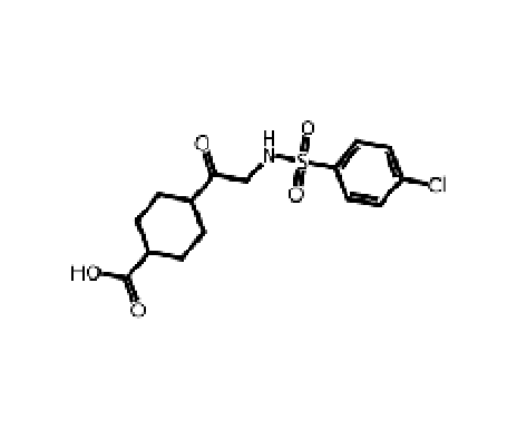 O=C(O)C1CCC(C(=O)CNS(=O)(=O)c2ccc(Cl)cc2)CC1